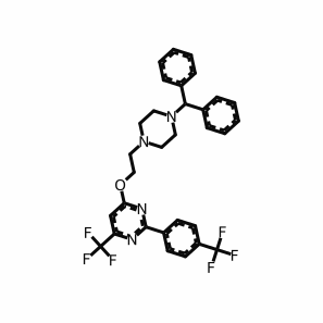 FC(F)(F)c1ccc(-c2nc(OCCN3CCN(C(c4ccccc4)c4ccccc4)CC3)cc(C(F)(F)F)n2)cc1